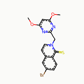 COc1cc(OC)nc(Cn2ccc3cc(Br)ccc3c2=S)n1